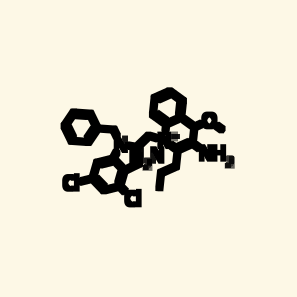 CCCC1=C(N)C(OC)c2ccccc2[N+]1(N)Cc1cc2c(Cl)cc(Cl)cc2n1Cc1ccccc1